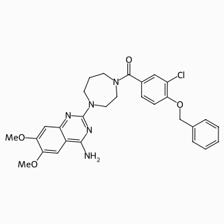 COc1cc2nc(N3CCCN(C(=O)c4ccc(OCc5ccccc5)c(Cl)c4)CC3)nc(N)c2cc1OC